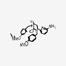 COc1ccc(Cn2c(-c3cccc(N)n3)cc(=O)n(Cc3ccc(OC)cc3)c2=O)cc1